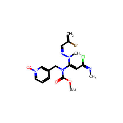 C=C(Br)/C=N\N(C)/C(=C\C(Cl)=N/C)N(Cc1ccc[n+]([O-])c1)C(=O)OC(C)(C)C